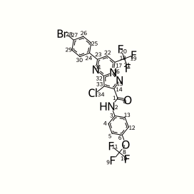 O=C(Nc1ccc(OC(F)(F)F)cc1)c1nn2c(C(F)(F)F)cc(-c3ccc(Br)cc3)nc2c1Cl